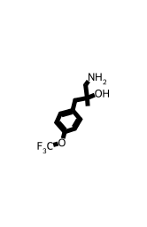 CC(O)(CN)Cc1ccc(OC(F)(F)F)cc1